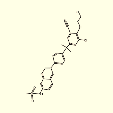 CC(C)(c1ccc(-c2cnc3nc(NS(C)(=O)=O)ccc3n2)cc1)c1cc(Cl)c(OCCCl)c(C#N)c1